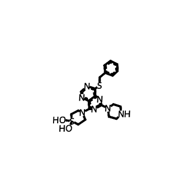 OS1(O)CCN(c2nc(N3CCNCC3)nc3c(SCc4ccccc4)ncnc23)CC1